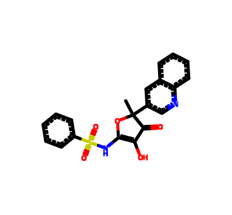 CC1(c2cnc3ccccc3c2)OC(NS(=O)(=O)c2ccccc2)=C(O)C1=O